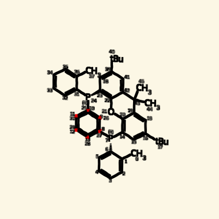 Cc1ccccc1[P@](c1ccccc1)c1cc(C(C)(C)C)cc2c1Oc1c([P@@](c3ccccc3)c3ccccc3C)cc(C(C)(C)C)cc1C2(C)C